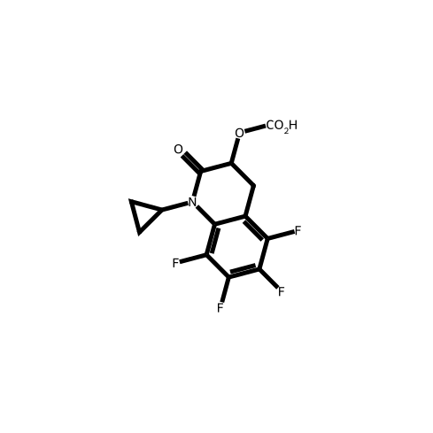 O=C(O)OC1Cc2c(F)c(F)c(F)c(F)c2N(C2CC2)C1=O